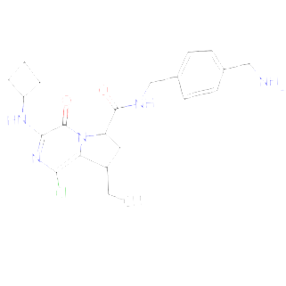 CCC1CC(C(=O)NCc2ccc(CN)cc2)n2c1c(Cl)nc(NC1CCC1)c2=O